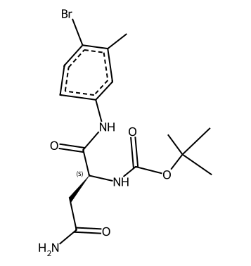 Cc1cc(NC(=O)[C@H](CC(N)=O)NC(=O)OC(C)(C)C)ccc1Br